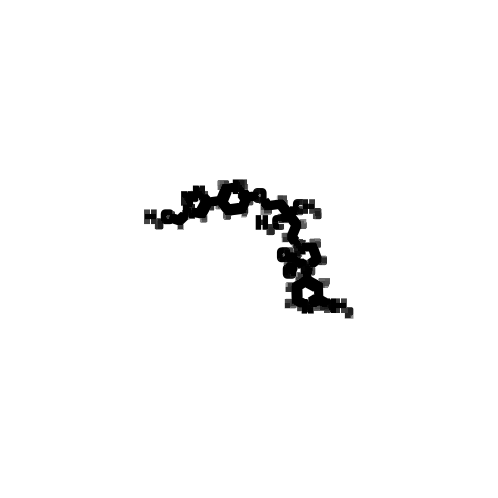 CCn1cc(-c2ccc(OCCC(C)(C)CCN3CCN(c4ccnc(N)c4)S3(=O)=O)nc2)nn1